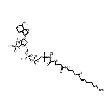 CC(=O)OCCCCC=CC(=O)SCCNC(=O)CCNC(=O)[C@H](O)C(C)(C)COP(=O)(O)OP(=O)(O)OC[C@H]1O[C@@H](n2cnc3c(N)ncnc32)[C@H](O)[C@@H]1OP(=O)(O)O